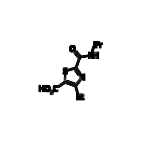 CCc1nc(C(=O)NC(C)C)sc1C(=O)O